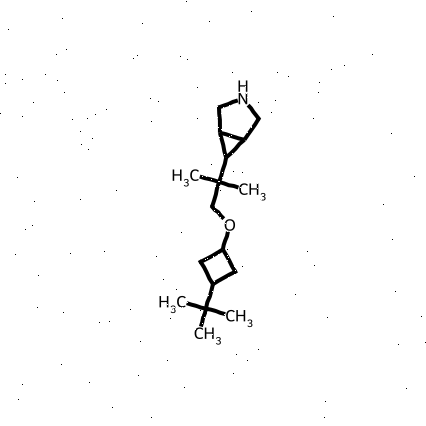 CC(C)(C)C1CC(OCC(C)(C)C2C3CNCC32)C1